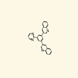 c1cnc(-c2cc(-c3cnc4ccccc4c3)cc(-c3cnc4ccccc4c3)c2)nc1